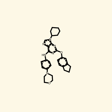 c1cc(N2CCOCC2)ccc1Nc1nc(Oc2ccc3c(c2)CCC3)nc2c1ncn2C1CCCCC1